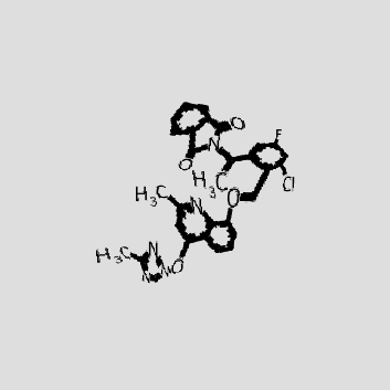 Cc1cc(On2cnc(C)n2)c2cccc(OCc3c(Cl)cc(F)cc3C(C)N3C(=O)c4ccccc4C3=O)c2n1